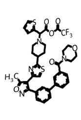 Cc1onc(-c2cccc(-c3cccc(C(=O)N4CCOCC4)c3)c2)c1-c1csc(C2CCN(C(C(=O)OC(=O)C(F)(F)F)c3cccs3)CC2)n1